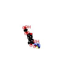 Cc1nc(C)c(C(=O)NC[C@H](O)[C@@]23CC[C@]4(C)[C@H](CC[C@@H]5[C@@]6(C)CC[C@H](OC(=O)[C@H]7C[C@@H](C(=O)O)C7(C)C)C(C)(C)[C@@H]6CC[C@]54C)C2=C(C(C)C)C(=O)C3)s1